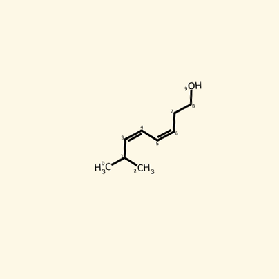 CC(C)/C=C\C=C/CCO